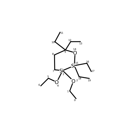 CCO[Si]1(OCC)CCC(CC)(CC)O[Si]1(CC)CC